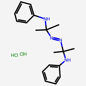 CC(C)(/N=N/C(C)(C)Nc1ccccc1)Nc1ccccc1.Cl.Cl